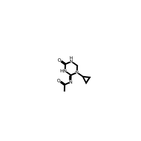 CC(=O)N=C1NC(=O)NCN1C1CC1